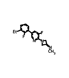 CCc1cccc(-c2cnc(N3CC(=NC)C3)c(F)c2)c1F